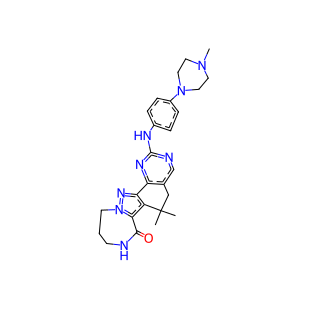 CN1CCN(c2ccc(Nc3ncc4c(n3)-c3nn5c(c3C(C)(C)C4)C(=O)NCCC5)cc2)CC1